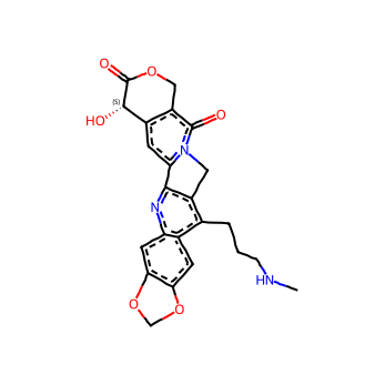 CNCCCc1c2c(nc3cc4c(cc13)OCO4)-c1cc3c(c(=O)n1C2)COC(=O)[C@H]3O